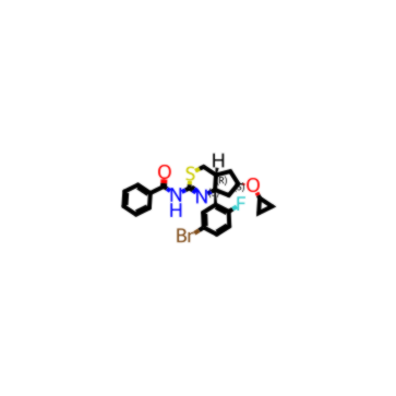 O=C(NC1=N[C@@]2(c3cc(Br)ccc3F)C[C@@H](OC3CC3)C[C@H]2CS1)c1ccccc1